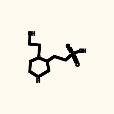 O=S(=O)(O)CCC1CNCCN1CCO